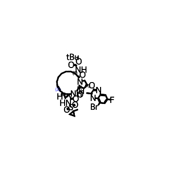 Cc1nc2c(Br)cc(F)cc2nc1O[C@@H]1C[C@H]2C(=O)N[C@]3(C(=O)NS(=O)(=O)C4(C)CC4)C[C@H]3/C=C\CCCCC[C@H](NC(=O)OC(C)(C)C)C(=O)N2C1